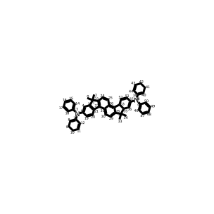 CC1(C)c2cc(N(C3=CCCC=C3)c3ccccc3)ccc2-c2c1ccc1c3c(ccc21)C(C)(C)C1C=C(N(C2=CCCC=C2)c2ccccc2)C=CC31